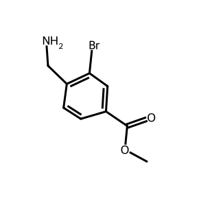 COC(=O)c1ccc(CN)c(Br)c1